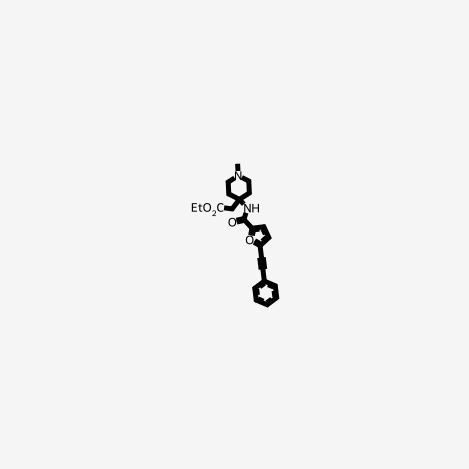 CCOC(=O)CC1(NC(=O)c2ccc(C#Cc3ccccc3)o2)CCN(C)CC1